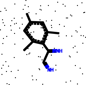 Cc1cc(C)c(C(=N)C=N)c(C)c1